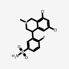 CN1Cc2c(Cl)cc(Cl)cc2C(c2cc(S(N)(=O)=O)ccc2F)C1